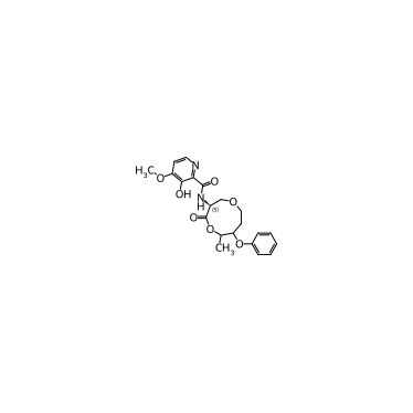 COc1ccnc(C(=O)N[C@H]2COCCC(Oc3ccccc3)C(C)OC2=O)c1O